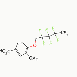 CC(=O)Oc1cc(C(=O)O)ccc1OCC(F)(F)C(F)(F)C(F)(F)C(F)(F)F